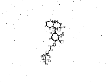 CC1(C)CNC2CCCCC2N1c1ccc(OCCO[Si](C)(C)C(C)(C)C)c(Cl)c1F